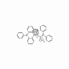 C[C@H](P(c1ccccc1)c1ccccc1)[C@]12[CH]3[CH]4[CH]5[C]1(c1ccccc1P(c1ccccc1)c1ccccc1)[Fe]45321678[CH]2[CH]1[CH]6[CH]7[CH]28